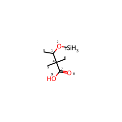 CC(O[SiH3])C(C)(C)C(=O)O